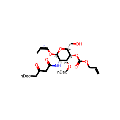 C=CCOC(=O)O[C@H]1[C@H](OCCCCCCCCCC)[C@H](NC(=O)CC(=O)CCCCCCCCCCC)[C@@H](O/C=C\C)O[C@@H]1CO